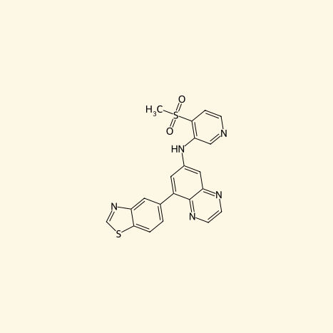 CS(=O)(=O)c1ccncc1Nc1cc(-c2ccc3scnc3c2)c2nccnc2c1